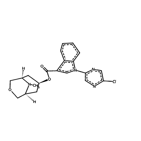 CN1[C@@H]2COC[C@H]1C[C@@H](OC(=O)c1cn(-c3cnc(Cl)cn3)c3ccccc13)C2